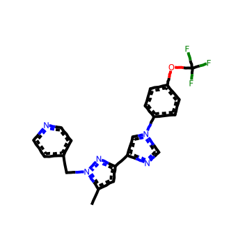 Cc1cc(-c2cn(-c3ccc(OC(F)(F)F)cc3)cn2)nn1Cc1ccncc1